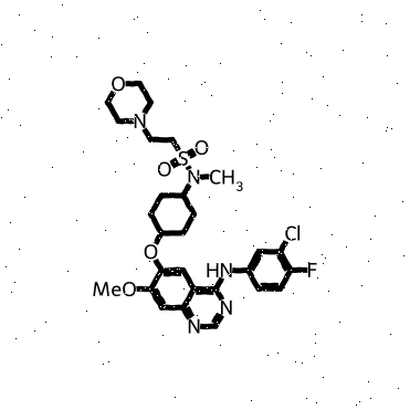 COc1cc2ncnc(Nc3ccc(F)c(Cl)c3)c2cc1OC1CCC(N(C)S(=O)(=O)CCN2CCOCC2)CC1